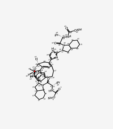 COC(=O)N[C@H](C(=O)N1C2CCCCC2C[C@H]1c1nc(C2=CC3=C(c4c[nH]c([C@@H]5CC6CCCCC6N5C(=O)[C@@H](NC(=O)OC)C(C)C)n4)C[C@@H]2C[C@@H](C)[C@@H]2C=CC(=CC2)CC3)c[nH]1)C(C)C